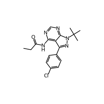 CCC(=O)Nc1ncnc2c1c(-c1ccc(Cl)cc1)nn2C(C)(C)C